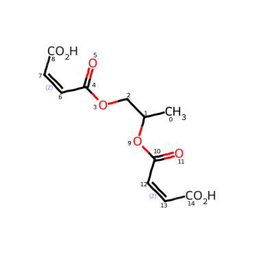 CC(COC(=O)/C=C\C(=O)O)OC(=O)/C=C\C(=O)O